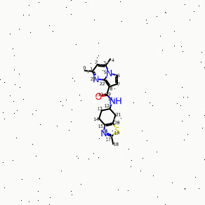 Cc1cc(C)n2ccc(C(=O)NC3CCc4nc(C)sc4C3)c2n1